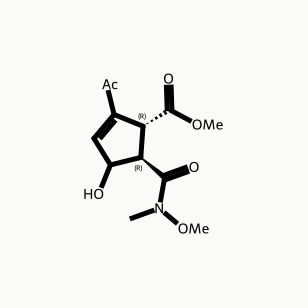 COC(=O)[C@H]1C(C(C)=O)=CC(O)[C@@H]1C(=O)N(C)OC